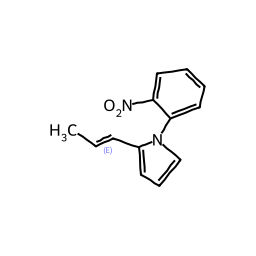 C/C=C/c1cccn1-c1ccccc1[N+](=O)[O-]